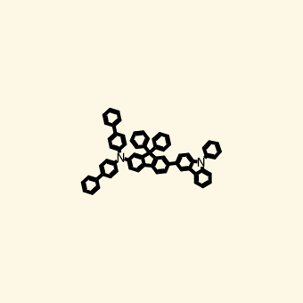 c1ccc(-c2ccc(N(c3ccc(-c4ccccc4)cc3)c3ccc4c(c3)C(c3ccccc3)(c3ccccc3)c3cc(-c5ccc6c(c5)c5ccccc5n6-c5ccccc5)ccc3-4)cc2)cc1